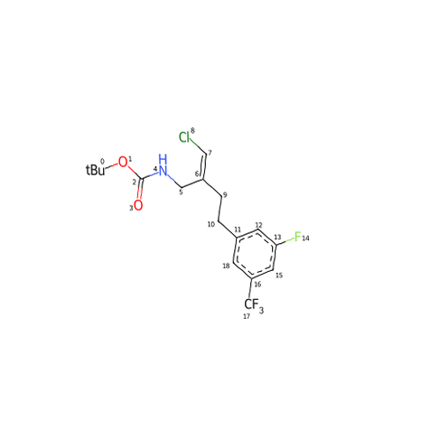 CC(C)(C)OC(=O)NC/C(=C\Cl)CCc1cc(F)cc(C(F)(F)F)c1